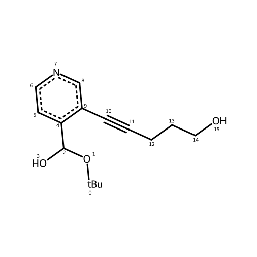 CC(C)(C)OC(O)c1ccncc1C#CCCCO